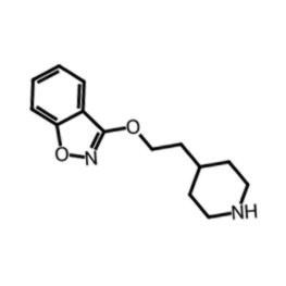 c1ccc2c(OCCC3CCNCC3)noc2c1